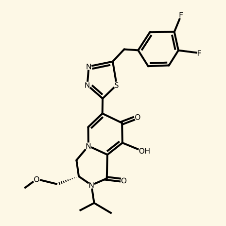 COC[C@@H]1Cn2cc(-c3nnc(Cc4ccc(F)c(F)c4)s3)c(=O)c(O)c2C(=O)N1C(C)C